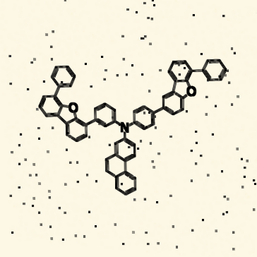 c1ccc(-c2cccc3c2oc2ccc(-c4ccc(N(c5cccc(-c6cccc7c6oc6c(-c8ccccc8)cccc67)c5)c5ccc6c(ccc7ccccc76)c5)cc4)cc23)cc1